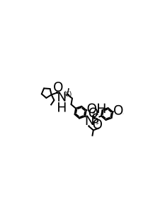 CCC1(C(=O)N[C@@H](C)CCc2ccc(N(CC(C)C)S(=O)(=O)c3ccc(OC)cc3)c(O)c2)CCCC1